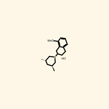 COc1cccc2c1CC(N1C[C@@H](C)C[C@H](C)C1)CC2.Cl